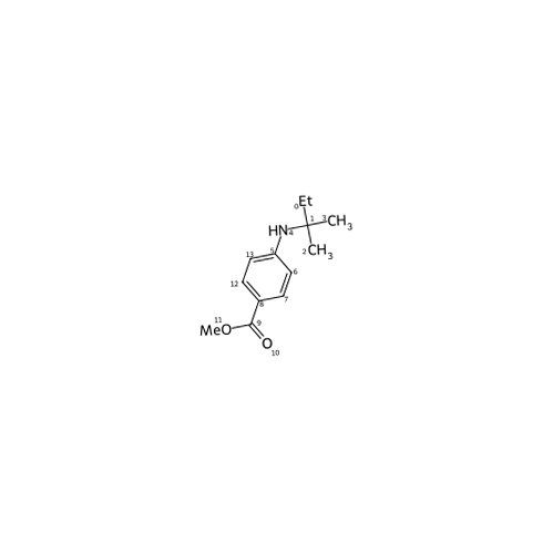 CCC(C)(C)Nc1ccc(C(=O)OC)cc1